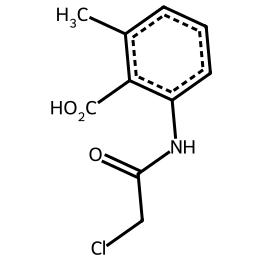 Cc1cccc(NC(=O)CCl)c1C(=O)O